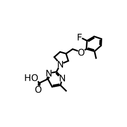 Cc1cc(C(=O)O)nc(N2CCC(COc3c(C)cccc3F)C2)n1